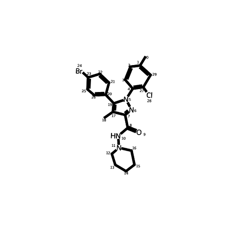 Cc1ccc(-n2nc(C(=O)NN3CCCCC3)c(C)c2-c2ccc(Br)cc2)c(Cl)c1